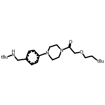 CC(C)(C)CCOCC(=O)N1CCN(c2ccc(CNC(C)(C)C)cc2)CC1